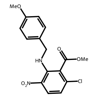 COC(=O)c1c(Cl)ccc([N+](=O)[O-])c1NCc1ccc(OC)cc1